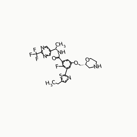 CCc1cnc(-c2cc(OC[C@H]3CNCCO3)cc(C(=O)N[C@H](C)c3cnc(C(F)(F)F)nc3)c2F)s1